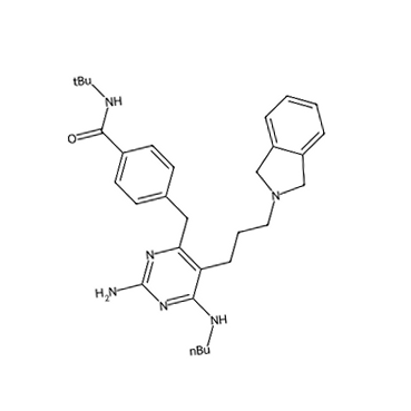 CCCCNc1nc(N)nc(Cc2ccc(C(=O)NC(C)(C)C)cc2)c1CCCN1Cc2ccccc2C1